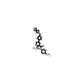 CC1CCC(NC(=O)c2cc(-c3ccc(CN4CC5(COC5)C4)cc3)cnc2N)CC1